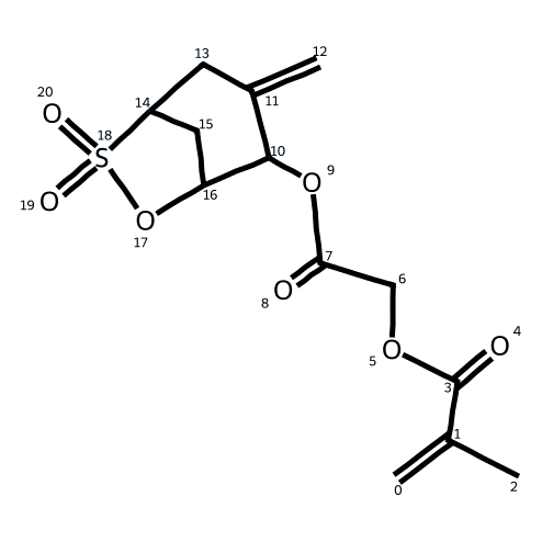 C=C(C)C(=O)OCC(=O)OC1C(=C)CC2CC1OS2(=O)=O